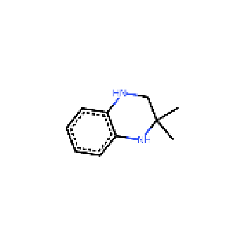 CC1(C)CNc2ccccc2N1